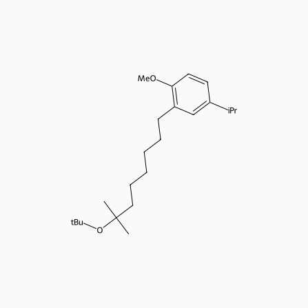 COc1ccc(C(C)C)cc1CCCCCCC(C)(C)OC(C)(C)C